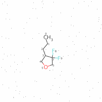 CCCC1COCC1(F)F